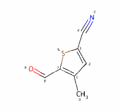 Cc1cc(C#N)sc1C=O